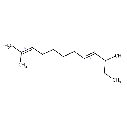 [CH2]/C(C)=C/CCCC/C=C/C(C)CC